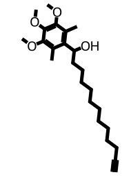 C#CCCCCCCCCCCC(O)c1c(C)c(OC)c(OC)c(OC)c1C